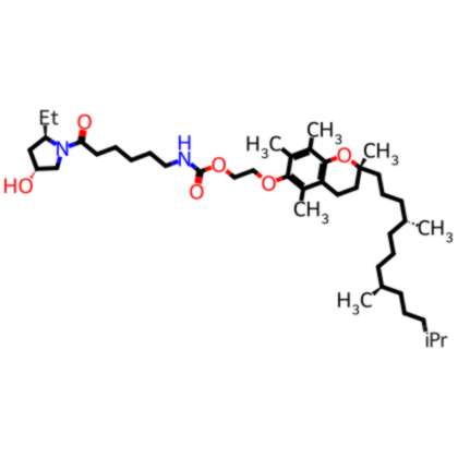 CC[C@@H]1C[C@@H](O)CN1C(=O)CCCCCNC(=O)OCCOc1c(C)c(C)c2c(c1C)CC[C@@](C)(CCC[C@H](C)CCC[C@H](C)CCCC(C)C)O2